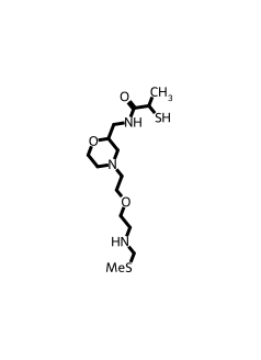 CSCNCCOCCN1CCOC(CNC(=O)C(C)S)C1